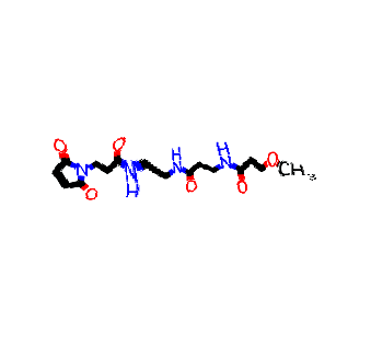 COCCC(=O)NCCC(=O)NCCNC(=O)CCN1C(=O)C=CC1=O